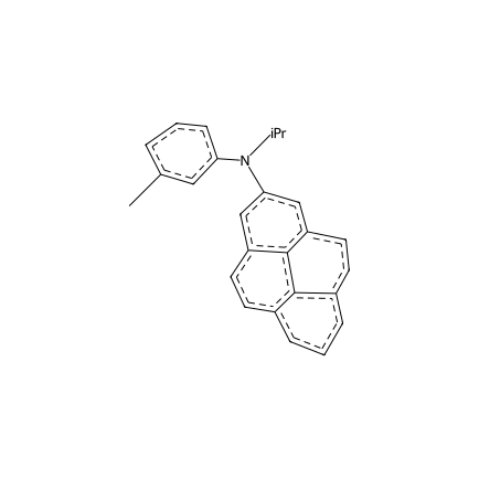 Cc1cccc(N(c2cc3ccc4cccc5ccc(c2)c3c45)C(C)C)c1